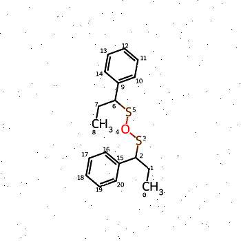 CCC(SOSC(CC)c1ccccc1)c1ccccc1